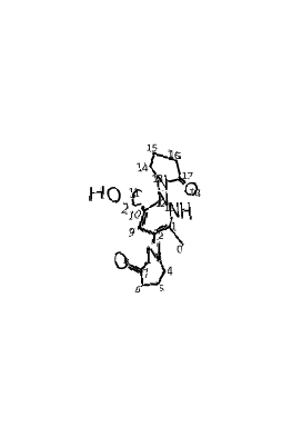 CC1=C(N2CCCC2=O)C=C(C(=O)O)N(N2CCCC2=O)N1